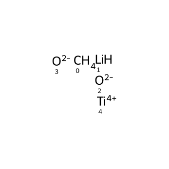 C.[LiH].[O-2].[O-2].[Ti+4]